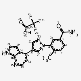 NC(=O)c1ccc(C(F)(F)F)c(-n2cc(-c3ccnc4[nH]ccc34)cn2)c1.O=C(O)C(F)(F)F